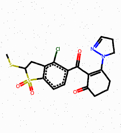 CSC1Cc2c(ccc(C(=O)C3=C(N4CCC=N4)CCCC3=O)c2Cl)S1(=O)=O